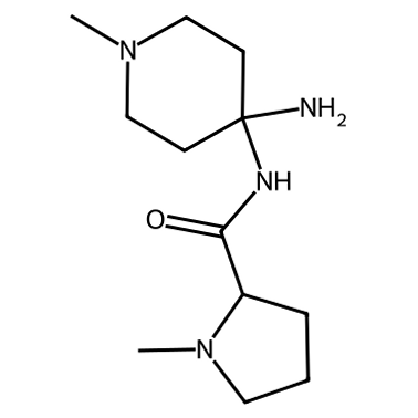 CN1CCC(N)(NC(=O)C2CCCN2C)CC1